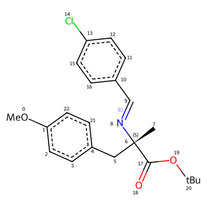 COc1ccc(C[C@](C)(/N=C/c2ccc(Cl)cc2)C(=O)OC(C)(C)C)cc1